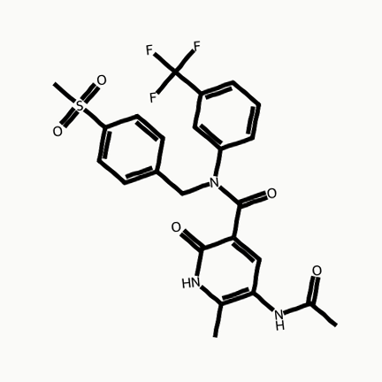 CC(=O)Nc1cc(C(=O)N(Cc2ccc(S(C)(=O)=O)cc2)c2cccc(C(F)(F)F)c2)c(=O)[nH]c1C